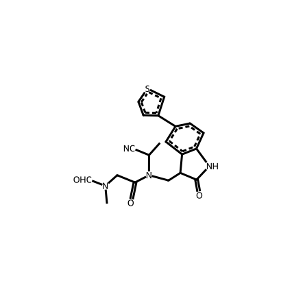 CC(C#N)N(CC1C(=O)Nc2ccc(-c3ccsc3)cc21)C(=O)CN(C)C=O